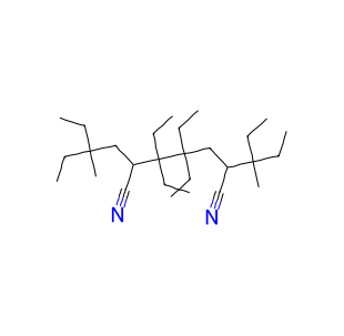 CCC(C)(CC)CC(C#N)C(CC)(CC)C(CC)(CC)CC(C#N)C(C)(CC)CC